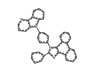 c1ccc(-c2nc3c4ccccc4c4ccccc4c3n2-c2ccc(-n3c4ccccc4c4ncccc43)cc2)cc1